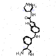 N=C/C(=C\N)c1cccc(Nc2ccc3cc(C(=O)NC(/C=C\N)=C/N)[nH]c3c2)c1